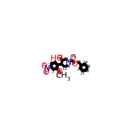 COc1cc([N+](=O)[O-])ccc1C1CCN(C(=O)OCc2ccccc2)CC1O